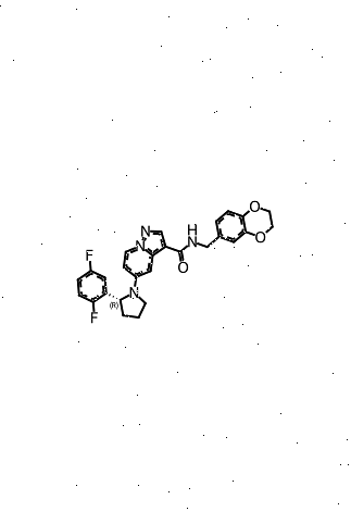 O=C(NCc1ccc2c(c1)OCCO2)c1cnn2ccc(N3CCC[C@@H]3c3cc(F)ccc3F)cc12